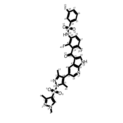 Cc1nn(C)cc1S(=O)(=O)n1nc(C)c(-c2cnc3[nH]cc(C(=O)c4c(F)ccc(NS(=O)(=O)c5cccc(F)c5)c4F)c3c2)c1C